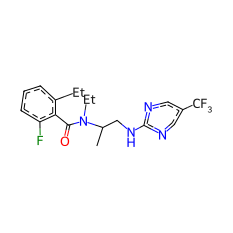 CCc1cccc(F)c1C(=O)N(CC)C(C)CNc1ncc(C(F)(F)F)cn1